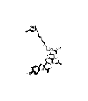 CC(=O)N[C@@H](Cc1ccc(O)cc1)C(=O)N[C@H](CC(C)C)C(=O)N[C@@H](CC(=O)O)C(=O)NCCOCCOCCn1cc(C)nn1